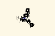 Cc1nc(/C(N)=C(\CNc2ncc(-c3ccccc3)s2)N(C)N)ccc1OC1CCCCC1